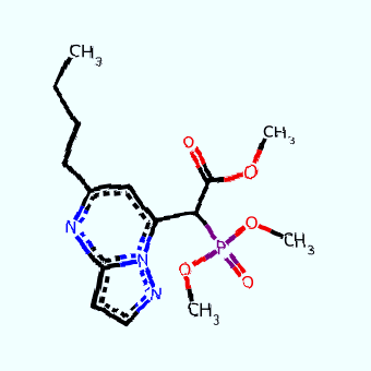 CCCCc1cc(C(C(=O)OC)P(=O)(OC)OC)n2nccc2n1